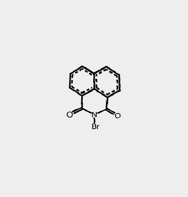 O=C1c2cccc3cccc(c23)C(=O)N1Br